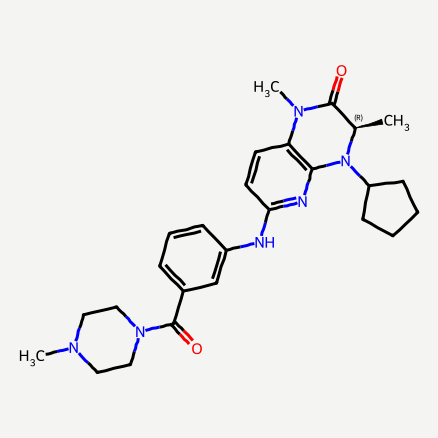 C[C@@H]1C(=O)N(C)c2ccc(Nc3cccc(C(=O)N4CCN(C)CC4)c3)nc2N1C1CCCC1